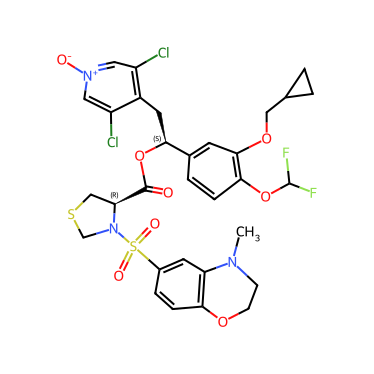 CN1CCOc2ccc(S(=O)(=O)N3CSC[C@H]3C(=O)O[C@@H](Cc3c(Cl)c[n+]([O-])cc3Cl)c3ccc(OC(F)F)c(OCC4CC4)c3)cc21